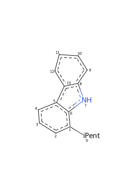 CCCC(C)c1cccc2c1[nH]c1ccccc12